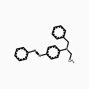 CCN(Cc1ccccc1)c1ccc(N=Nc2ccccc2)cc1